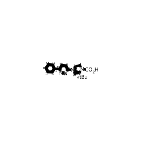 CC(C)(C)[C@]12CC(CN1C(=O)O)N(c1ccc(-c3ccccc3)nn1)C2